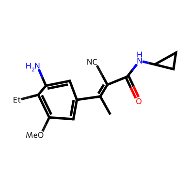 CCc1c(N)cc(/C(C)=C(\C#N)C(=O)NC2CC2)cc1OC